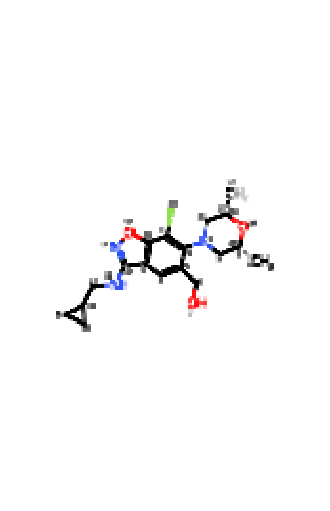 C[C@@H]1CN(c2c(CO)cc3c(NCC4CC4)noc3c2F)C[C@H](C)O1